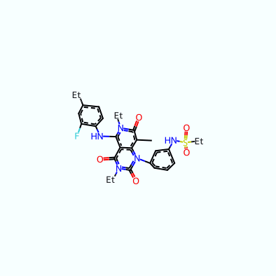 CCc1ccc(Nc2c3c(=O)n(CC)c(=O)n(-c4cccc(NS(=O)(=O)CC)c4)c3c(C)c(=O)n2CC)c(F)c1